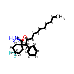 CCCCCCCCCCC(c1ccccc1)C1(C(N)=O)CCC(F)(F)CC1